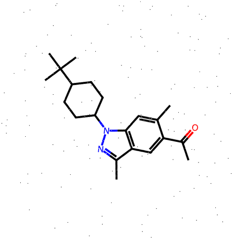 CC(=O)c1cc2c(C)nn(C3CCC(C(C)(C)C)CC3)c2cc1C